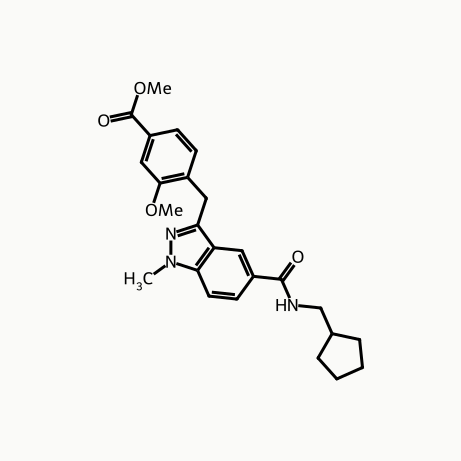 COC(=O)c1ccc(Cc2nn(C)c3ccc(C(=O)NCC4CCCC4)cc23)c(OC)c1